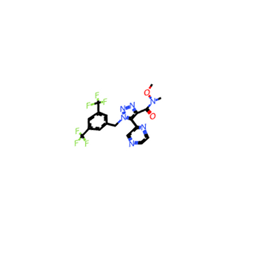 CON(C)C(=O)c1nnn(Cc2cc(C(F)(F)F)cc(C(F)(F)F)c2)c1-c1cnccn1